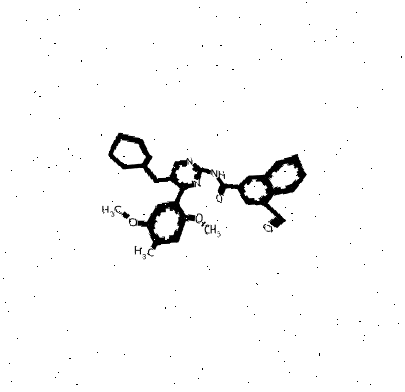 COc1cc(-c2nc(NC(=O)c3cc(C=O)c4ccccc4c3)ncc2CC2CCCCC2)c(OC)cc1C